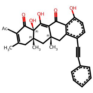 CC(=O)C1=C(C)C[C@@]2(C)C[C@@]3(C)Cc4c(C#Cc5ccccc5)ccc(O)c4C(=O)C3=C(O)[C@@]2(O)C1=O